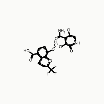 COc1ccc(C(=O)O)c2ccc(C(F)(F)F)nc12.NC(=O)c1c(Cl)c[nH]c(=O)c1Cl